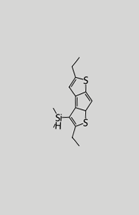 CCC1=C([SiH](C)C)C2=c3cc(CC)sc3=CC2S1